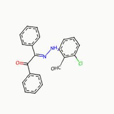 NN=C(C(=O)c1ccccc1)c1ccccc1.O=Cc1ccccc1Cl